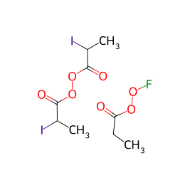 CC(I)C(=O)OOC(=O)C(C)I.CCC(=O)OOF